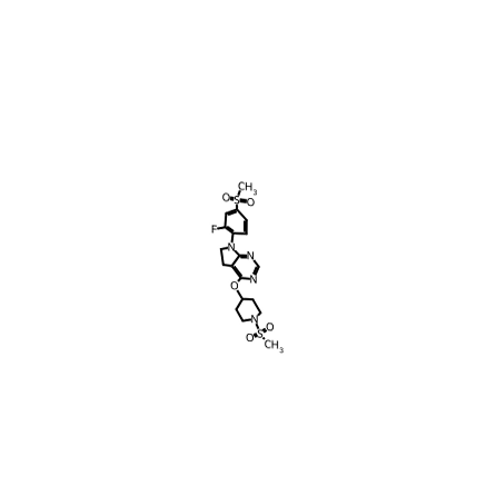 CS(=O)(=O)c1ccc(N2CCc3c(OC4CCN(S(C)(=O)=O)CC4)ncnc32)c(F)c1